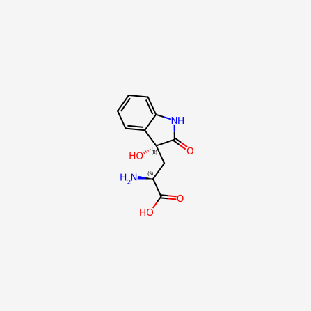 N[C@@H](C[C@]1(O)C(=O)Nc2ccccc21)C(=O)O